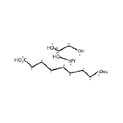 CCCCCCCCCCCCCCCCCC(=O)O.CCCO.OCCO